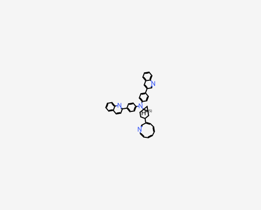 c1cccncc(C2CCC3(N(c4ccc(-c5cnc6ccccc6c5)cc4)c4ccc(-c5ccc6ccccc6n5)cc4)C[C@@H]3C2)ccc1